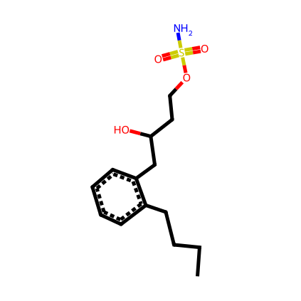 CCCCc1ccccc1CC(O)CCOS(N)(=O)=O